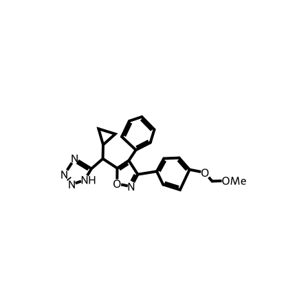 COCOc1ccc(-c2noc(C(c3nnn[nH]3)C3CC3)c2-c2ccccc2)cc1